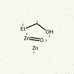 CCCO.[O]=[Zn].[Zn]